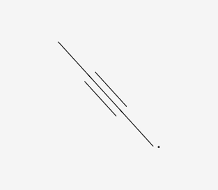 [CH2]C#CC